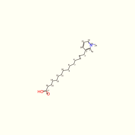 Cc1c(CCCCCCCCCCCCCCC(=O)O)ccc[n+]1C